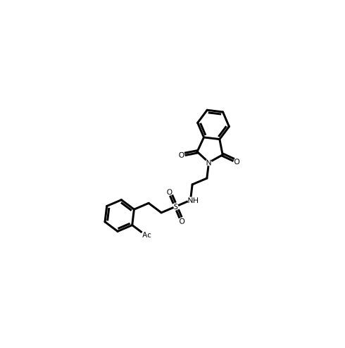 CC(=O)c1ccccc1CCS(=O)(=O)NCCN1C(=O)c2ccccc2C1=O